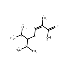 CC(=CCC(C(C)C)C(C)C)C(=O)O